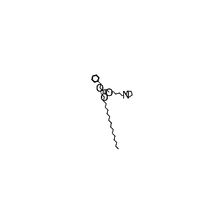 CCCCCCCCCCCCCCCCOC[C@@H](COCCCCN1CCCC1)OCc1ccccc1